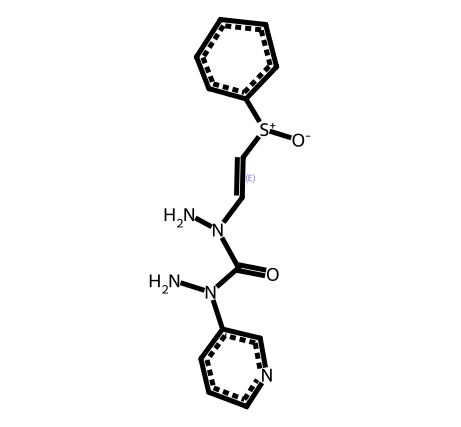 NN(/C=C/[S+]([O-])c1ccccc1)C(=O)N(N)c1cccnc1